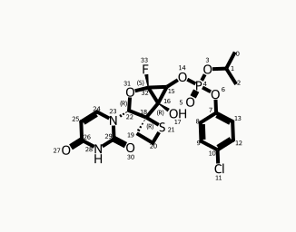 CC(C)OP(=O)(Oc1ccc(Cl)cc1)OC1[C@]2(O)[C@]3(CCS3)[C@H](n3ccc(=O)[nH]c3=O)O[C@]12F